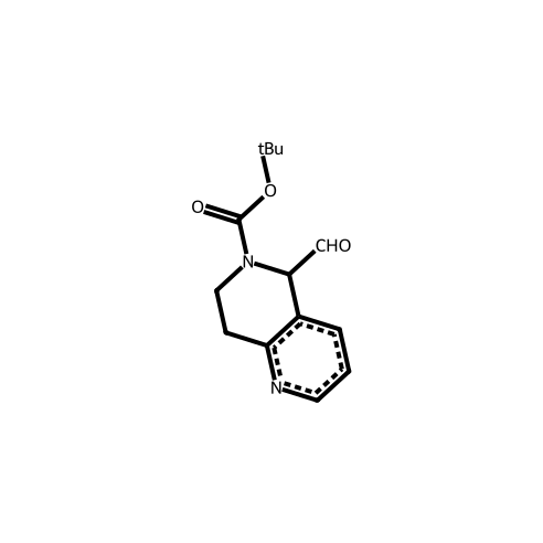 CC(C)(C)OC(=O)N1CCc2ncccc2C1C=O